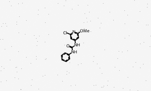 COc1cc(NC(=O)Nc2ccccc2)cc(Cl)n1